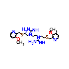 COc1cccnc1CSCCN(CCN(CCSCc1ncccc1OC)C(=N)N)C(=N)N